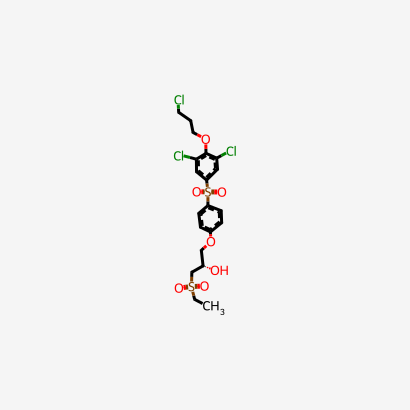 CCS(=O)(=O)C[C@@H](O)COc1ccc(S(=O)(=O)c2cc(Cl)c(OCCCCl)c(Cl)c2)cc1